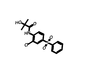 CC(C)(O)C(=O)Nc1ccc(S(=O)(=O)c2ccccc2)cc1Cl